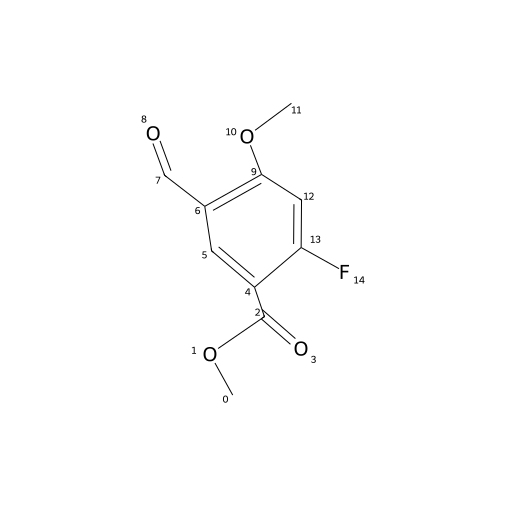 COC(=O)c1cc(C=O)c(OC)cc1F